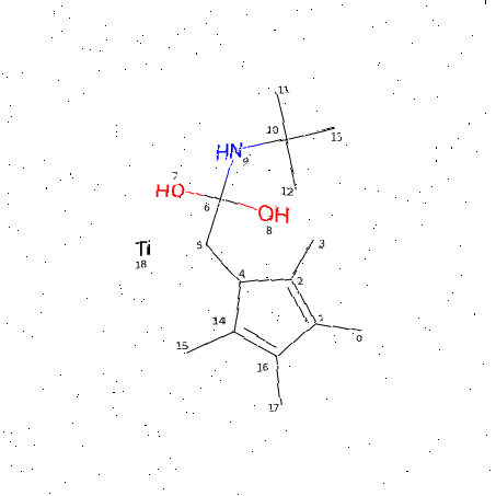 CC1=C(C)C(CC(O)(O)NC(C)(C)C)C(C)=C1C.[Ti]